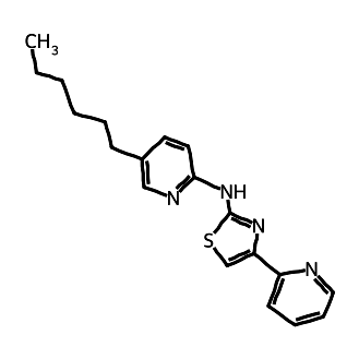 CCCCCCc1ccc(Nc2nc(-c3ccccn3)cs2)nc1